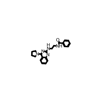 O=C(NCCNc1nc(N2CCCC2)c2ccccc2n1)c1ccccc1